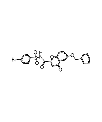 O=C(NS(=O)(=O)c1ccc(Br)cc1)c1cc(=O)c2cc(OCc3ccccc3)ccc2o1